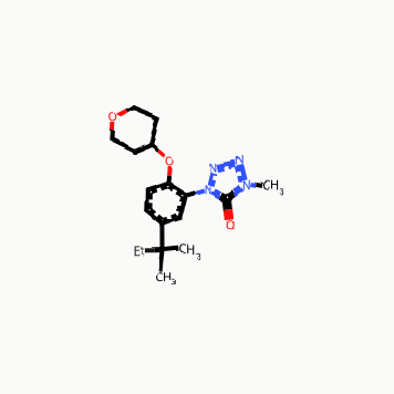 CCC(C)(C)c1ccc(OC2CCOCC2)c(-n2nnn(C)c2=O)c1